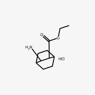 CCOC(=O)C1C2CCC(CC2)C1N.Cl